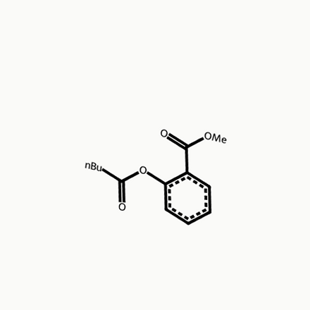 [CH2]OC(=O)c1ccccc1OC(=O)CCCC